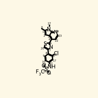 Cc1cc2c(-c3nc(-c4ccc(NS(=O)(=O)C(F)(F)F)cc4Cl)cs3)ccnc2n1C